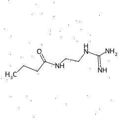 CCCC(=O)NCCNC(=N)N